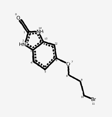 O=c1[nH]c2ccc(OCCCBr)cc2[nH]1